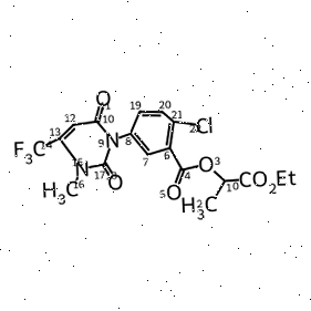 CCOC(=O)C(C)OC(=O)c1cc(-n2c(=O)cc(C(F)(F)F)n(C)c2=O)ccc1Cl